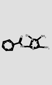 CCn1c(NC(=O)c2ccccc2)nc(N)c1N